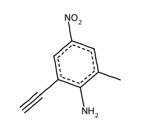 C#Cc1cc([N+](=O)[O-])cc(C)c1N